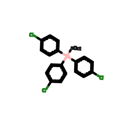 CCCCCCCC[B-](c1ccc(Cl)cc1)(c1ccc(Cl)cc1)c1ccc(Cl)cc1